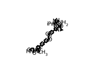 CC(C)n1nc(-c2noc(C3CC3)c2-c2ncc(C3CCN(C(=O)OCC(=O)N4CCC(N5CCC(c6ccc7c(N8CCC(=O)NC8=O)nn(C)c7c6F)CC5)CC4)CC3)cn2)c2c(N)ncnc21